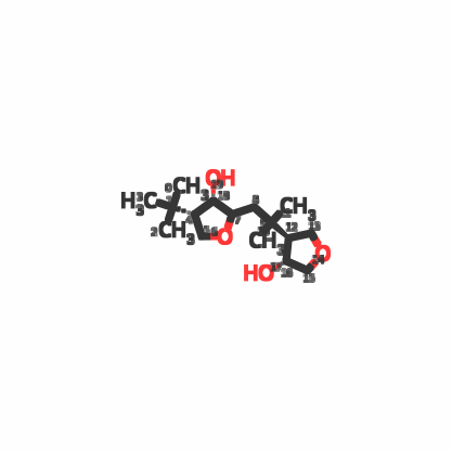 CC(C)(C)[C@H]1COC(CC(C)(C)[C@H]2COC[C@@H]2O)[C@H]1O